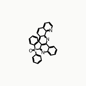 O=P(c1ccccc1)(c1ccccc1)c1nc2ccccc2c2nc3c(ccc4cccnc43)cc12